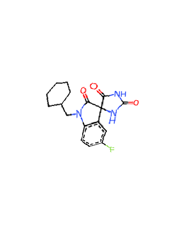 O=C1NC(=O)C2(N1)C(=O)N(CC1CCCCC1)c1ccc(F)cc12